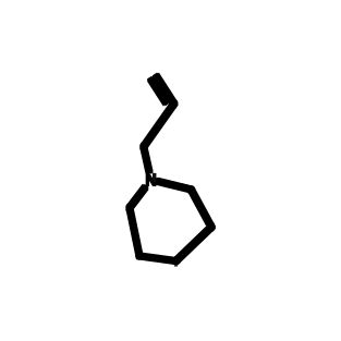 C=CCN1CC[CH]CC1